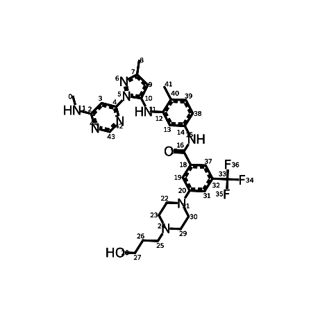 CNc1cc(-n2nc(C)cc2Nc2cc(NC(=O)c3cc(N4CCN(CCCO)CC4)cc(C(F)(F)F)c3)ccc2C)ncn1